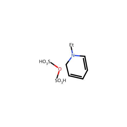 CCN1C=CC=CC1.O=S(=O)(O)OS(=O)(=O)O